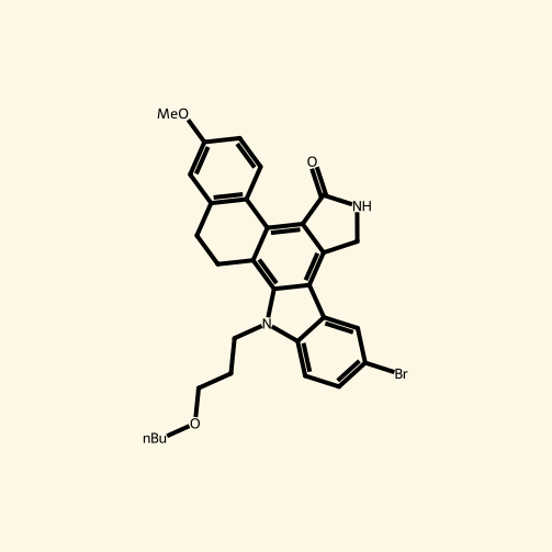 CCCCOCCCn1c2ccc(Br)cc2c2c3c(c4c(c21)CCc1cc(OC)ccc1-4)C(=O)NC3